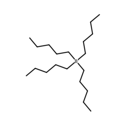 CCCCC[B-](CCCCC)(CCCCC)CCCCC